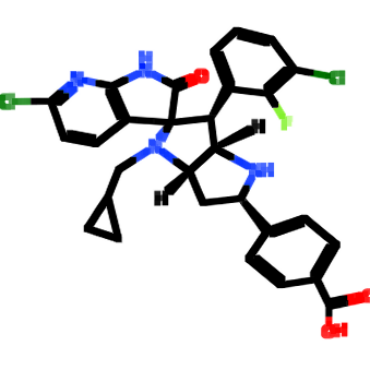 O=C(O)c1ccc([C@H]2C[C@H]3[C@@H](N2)[C@H](c2cccc(Cl)c2F)[C@]2(C(=O)Nc4nc(Cl)ccc42)N3CC2CC2)cc1